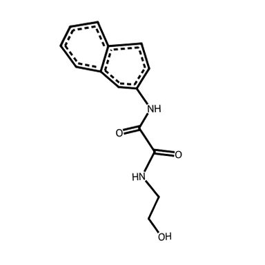 O=C(NCCO)C(=O)Nc1ccc2ccccc2c1